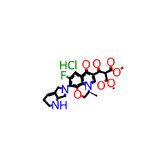 COC(=O)C(C(=O)OC)C(=O)c1cn2c3c(c(N4CC5=CCCNC5C4)c(F)cc3c1=O)OC[C@@H]2C.Cl